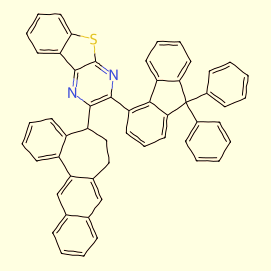 c1ccc(C2(c3ccccc3)c3ccccc3-c3c(-c4nc5sc6ccccc6c5nc4C4CCc5cc6ccccc6cc5-c5ccccc54)cccc32)cc1